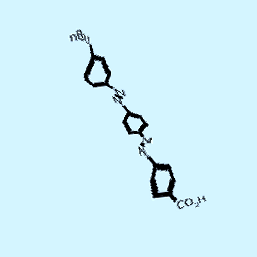 CCCCc1ccc(N=Nc2ccc(N=Nc3ccc(C(=O)O)cc3)cc2)cc1